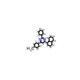 Cc1ccc(-c2cc(-c3cccc4ccccc34)nc(-c3ccccc3)n2)cc1